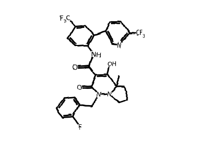 CC12CCCN1N(Cc1ccccc1F)C(=O)C(C(=O)Nc1ccc(C(F)(F)F)cc1-c1ccc(C(F)(F)F)nc1)=C2O